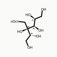 CCCCCCCCC[C@@](O)([C@H](O)CO)[C@H](O)[C@@H](O)CO